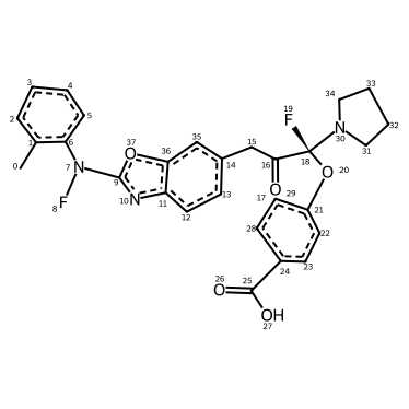 Cc1ccccc1N(F)c1nc2ccc(CC(=O)[C@@](F)(Oc3ccc(C(=O)O)cc3)N3CCCC3)cc2o1